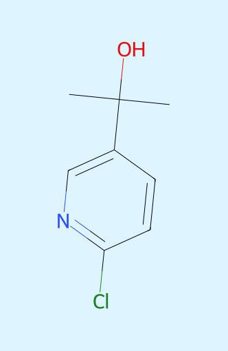 CC(C)(O)c1ccc(Cl)nc1